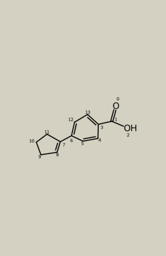 O=C(O)c1ccc(C2=CCCC2)cc1